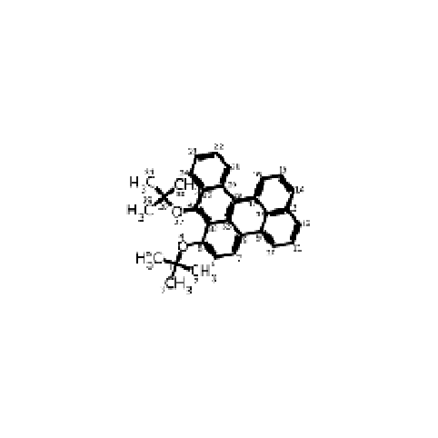 CC(C)(C)Oc1ccc2c3cccc4cccc(c43)c3c4ccccc4c(OC(C)(C)C)c1c23